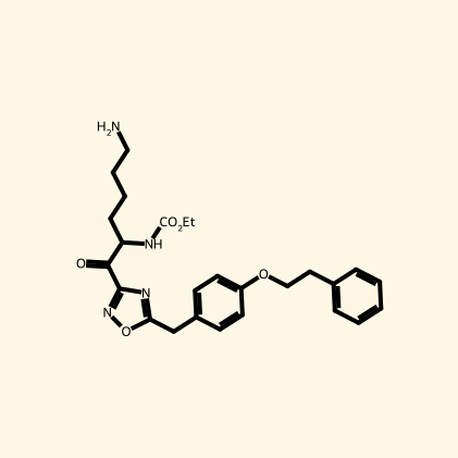 CCOC(=O)NC(CCCCN)C(=O)c1noc(Cc2ccc(OCCc3ccccc3)cc2)n1